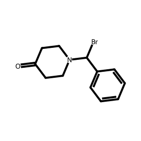 O=C1CCN(C(Br)c2ccccc2)CC1